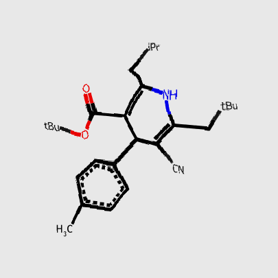 Cc1ccc(C2C(C#N)=C(CC(C)(C)C)NC(CC(C)C)=C2C(=O)OC(C)(C)C)cc1